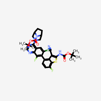 CC(C)(C)OC(=O)Nc1sc2c(F)ccc(-c3c(Cl)cc4c(N5CC6CCC(C5)N6C(=O)OC(C)(C)C)ncnc4c3F)c2c1C#N